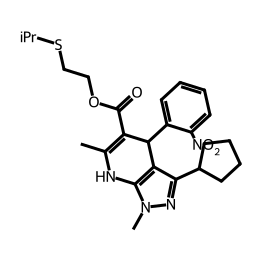 CC1=C(C(=O)OCCSC(C)C)C(c2ccccc2[N+](=O)[O-])c2c(C3CCCC3)nn(C)c2N1